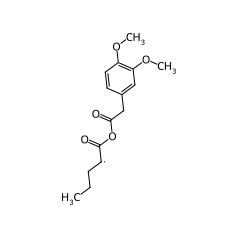 CCC[CH]C(=O)OC(=O)Cc1ccc(OC)c(OC)c1